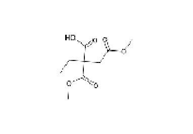 CCC(CC(=O)OC)(C(=O)O)C(=O)OC